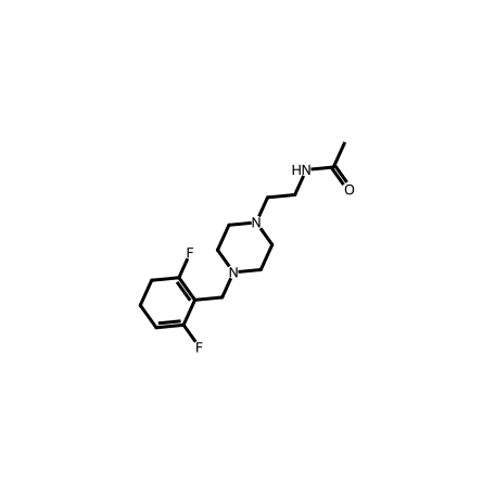 CC(=O)NCCN1CCN(CC2=C(F)CCC=C2F)CC1